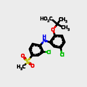 CC(C)(Oc1ccc(Cl)cc1Nc1ccc(S(C)(=O)=O)cc1Cl)C(=O)O